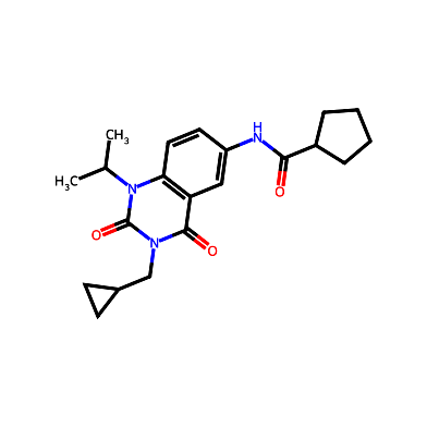 CC(C)n1c(=O)n(CC2CC2)c(=O)c2cc(NC(=O)C3CCCC3)ccc21